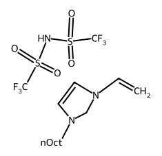 C=CN1C=CN(CCCCCCCC)C1.O=S(=O)(NS(=O)(=O)C(F)(F)F)C(F)(F)F